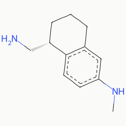 CNc1ccc2c(c1)CCC[C@H]2CN